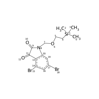 C[Si](C)(C)CCOCN1C(=O)C(=O)c2c(Br)cc(Br)cc21